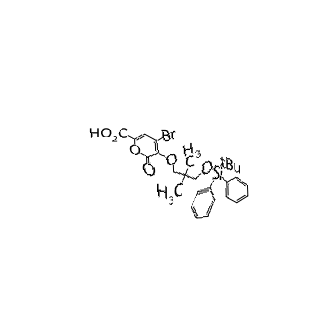 CC(C)(COc1c(Br)cc(C(=O)O)oc1=O)CO[Si](c1ccccc1)(c1ccccc1)C(C)(C)C